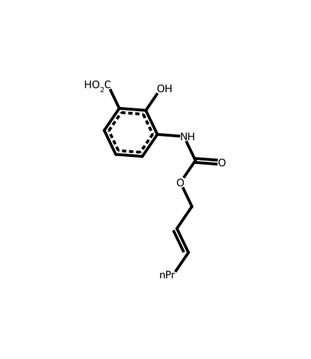 CCCC=CCOC(=O)Nc1cccc(C(=O)O)c1O